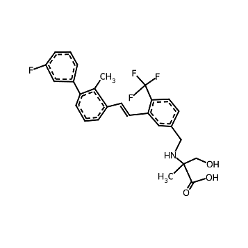 Cc1c(/C=C/c2cc(CNC(C)(CO)C(=O)O)ccc2C(F)(F)F)cccc1-c1cccc(F)c1